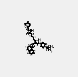 CC(C)N1CCC(NC/C(=C/CCCCC(=O)NOC2CCCCO2)COc2cccc3ccccc23)CC1